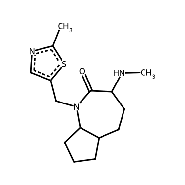 CNC1CCC2CCCC2N(Cc2cnc(C)s2)C1=O